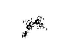 CC(=O)Nc1cc(C(=O)NC(C)c2ccc(OCC(F)(F)C(F)F)nc2)cc(C)n1